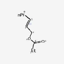 CCC/C=C/COC(=O)CC